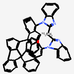 Cc1nc2ccccc2n1-c1cccc2c(-c3cccc4c3C(c3ccccc3)(c3ccccc3)c3ccccc3-4)c3cccc(-n4c(C)nc5ccccc54)c3cc12